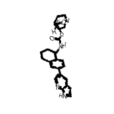 O=C(NC1CCCc2cc(-c3cnc4[nH]ccc4c3)ccc21)O[C@H]1CN2CCC1CC2